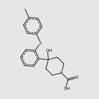 Cc1ccc(Sc2ccccc2C2(O)CCN(C(=O)O)CC2)cc1